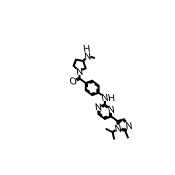 CNC1CCN(C(=O)c2ccc(Nc3nccc(-c4cnc(C)n4C(C)C)n3)cc2)C1